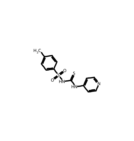 Cc1ccc(S(=O)(=O)NC(=S)Nc2ccncc2)cc1